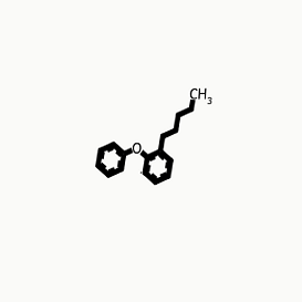 CCCCCc1ccc[c]c1Oc1ccccc1